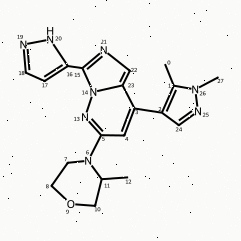 Cc1c(-c2cc(N3CCOCC3C)nn3c(-c4ccn[nH]4)ncc23)cnn1C